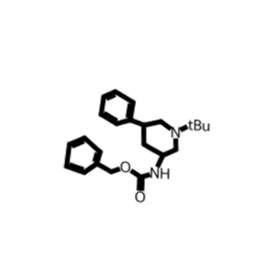 CC(C)(C)N1CC(NC(=O)OCc2ccccc2)CC(c2ccccc2)C1